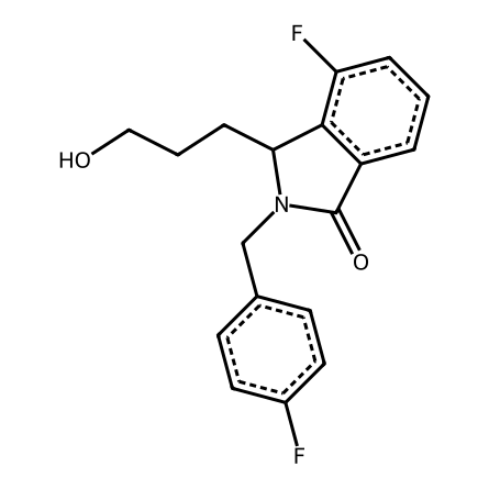 O=C1c2cccc(F)c2C(CCCO)N1Cc1ccc(F)cc1